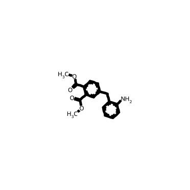 COC(=O)c1ccc(Cc2ccccc2N)cc1C(=O)OC